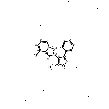 Cc1onc(-c2ccccc2)c1-c1cn2cccc(Cl)c2n1